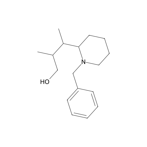 CC(CO)C(C)C1CCCCN1Cc1ccccc1